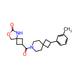 Cc1cccc(C2CC3(CCN(C(=O)C4CC5(COC(=O)N5)C4)CC3)C2)c1